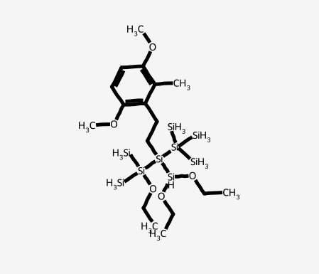 CCO[SiH](OCC)[Si](CCc1c(OC)ccc(OC)c1C)([Si]([SiH3])([SiH3])[SiH3])[Si]([SiH3])([SiH3])OCC